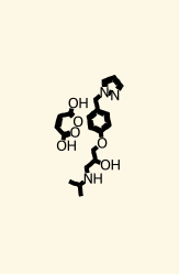 CC(C)NCC(O)COc1ccc(Cn2cccn2)cc1.O=C(O)/C=C\C(=O)O